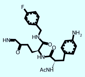 CC(=O)N[C@@H](Cc1ccc(N)cc1)C(=O)N[C@@H](CCC(=O)C=N)C(=O)NCc1ccc(F)cc1